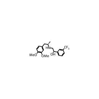 COc1ccc(C[C@@H](C)NC[C@H](O)c2cccc(C(F)(F)F)c2)cc1OC